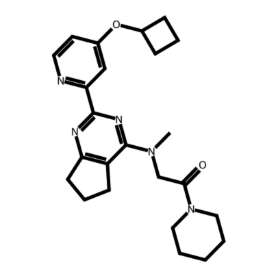 CN(CC(=O)N1CCCCC1)c1nc(-c2cc(OC3CCC3)ccn2)nc2c1CCC2